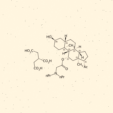 CCCN(CCC)CC(=O)O[C@H]1C[C@]2(C)[C@@H](C(C)=O)CC[C@H]2[C@@H]2CC[C@H]3C[C@H](O)CC[C@]3(C)[C@H]21.O=C(O)CC(CC(=O)O)C(=O)O